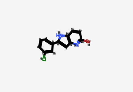 Clc1cccc(-c2cc3nc(Br)ccc3[nH]2)c1